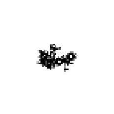 CC(=O)OCC1OC(Oc2ccc(C(=O)N[C@H](C)c3ccccc3)cc2)C(OC(C)=O)C(OC(C)=O)C1OC(C)=O